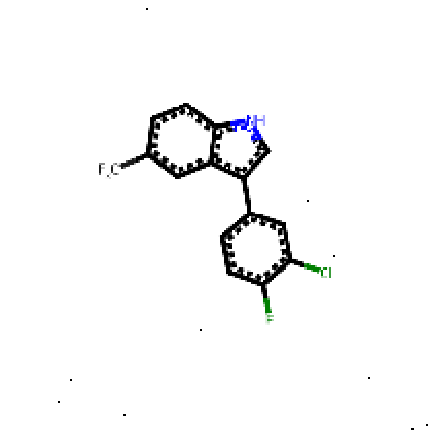 Fc1ccc(-c2c[nH]c3ccc(C(F)(F)F)cc23)cc1Cl